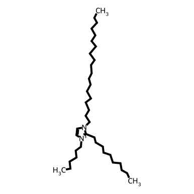 CCCCCCCCCCCCCCCCCCCn1cc[n+](CCCCCC)c1CCCCCCCCCC